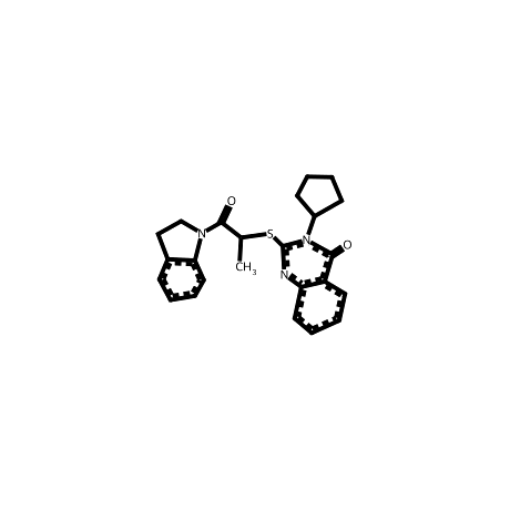 CC(Sc1nc2ccccc2c(=O)n1C1CCCC1)C(=O)N1CCc2ccccc21